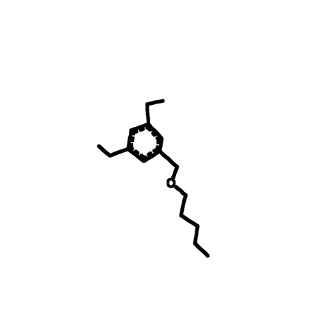 CCCCCOCc1cc(CC)cc(CC)c1